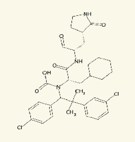 CC(C)(c1cccc(Cl)c1)C(c1ccc(Cl)cc1)N(C(=O)O)[C@@H](CC1CCCCC1)C(=O)N[C@H](C=O)C[C@@H]1CCNC1=O